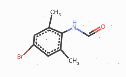 Cc1cc(Br)cc(C)c1NC=O